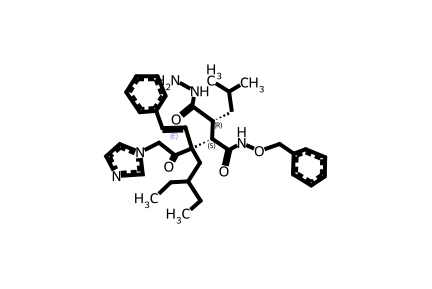 CCC(CC)CC(/C=C/c1ccccc1)(C(=O)Cn1ccnc1)[C@@H](C(=O)NOCc1ccccc1)[C@@H](CC(C)C)C(=O)NN